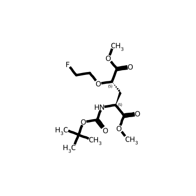 COC(=O)[C@H](C[C@H](OCCF)C(=O)OC)NC(=O)OC(C)(C)C